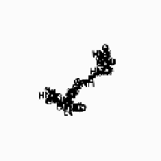 CCN(c1cc(-c2ccc(OCC(=O)NCCCCCCNc3cccc4c3C(=O)N(C3CCC(=O)NC3=O)C4=O)cc2)cc(C(=O)NCc2c(C)cc(C)[nH]c2=O)c1C)C1CCOCC1